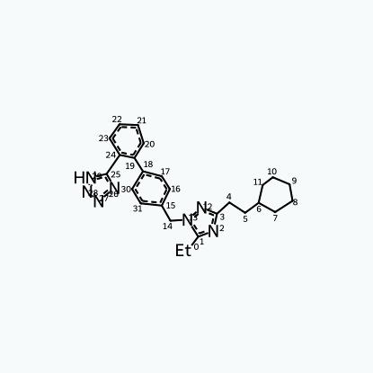 CCc1nc(CCC2CCCCC2)nn1Cc1ccc(-c2ccccc2-c2nnn[nH]2)cc1